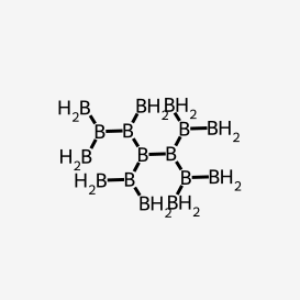 BB(B)B(B)B(B(B)B)B(B(B)B)B(B)B